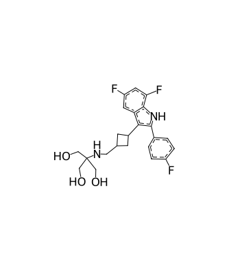 OCC(CO)(CO)NCC1CC(c2c(-c3ccc(F)cc3)[nH]c3c(F)cc(F)cc23)C1